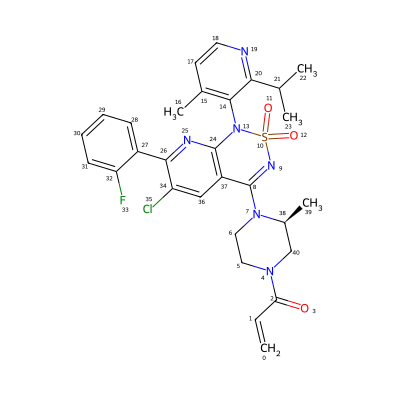 C=CC(=O)N1CCN(C2=NS(=O)(=O)N(c3c(C)ccnc3C(C)C)c3nc(-c4ccccc4F)c(Cl)cc32)[C@@H](C)C1